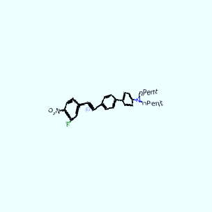 CCCCCN(CCCCC)c1ccc(-c2ccc(/C=C/c3ccc([N+](=O)[O-])c(F)c3)cc2)cc1